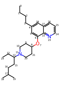 CCCCc1cc(OC2CCN(C(CC)CCC(C)C)CC2)c2ncccc2c1